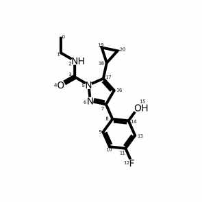 CCNC(=O)n1nc(-c2ccc(F)cc2O)cc1C1CC1